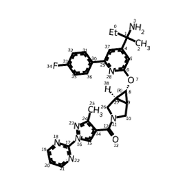 CCC(C)(N)c1cc(O[C@@H]2C3CN(C(=O)c4cn(-c5ncccn5)nc4C)C[C@H]32)nc(-c2ccc(F)cc2)c1